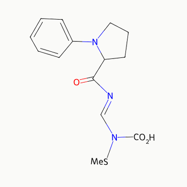 CSN(C=NC(=O)C1CCCN1c1ccccc1)C(=O)O